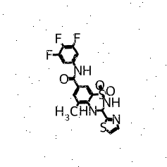 Cc1cc(C(=O)Nc2cc(F)c(F)c(F)c2)cc2c1NC(c1nccs1)NS2(=O)=O